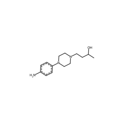 CC(O)CCN1CCN(c2ccc(N)cc2)CC1